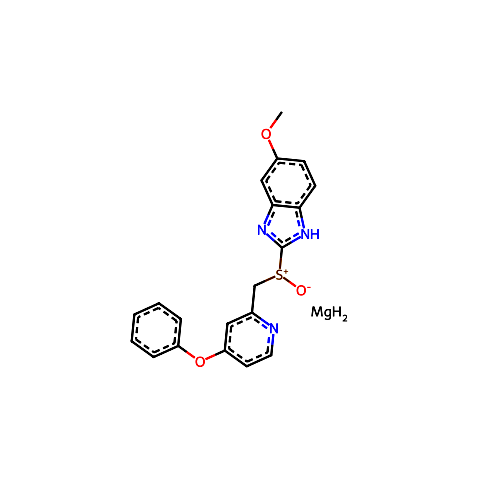 COc1ccc2[nH]c([S+]([O-])Cc3cc(Oc4ccccc4)ccn3)nc2c1.[MgH2]